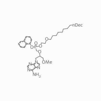 CCCCCCCCCCCCCCCCCCOCCOP(=O)(COC(COC)Cn1cnc2c(N)ncnc21)Oc1cccc2ccccc12